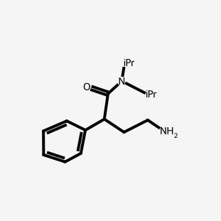 CC(C)N(C(=O)C(CCN)c1ccccc1)C(C)C